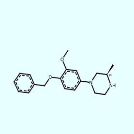 COc1cc(N2CCN[C@H](C)C2)ccc1OCc1ccccc1